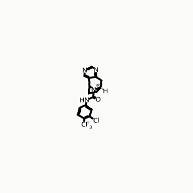 O=C(Nc1ccc(C(F)(F)F)c(Cl)c1)N1C2CC[C@@H]1Cc1ncncc12